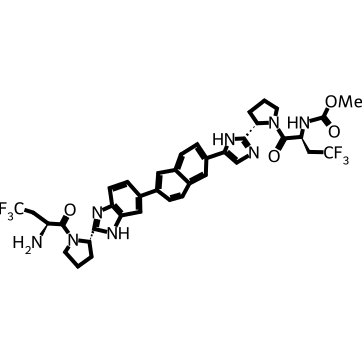 COC(=O)N[C@@H](CC(F)(F)F)C(=O)N1CCC[C@H]1c1ncc(-c2ccc3cc(-c4ccc5nc([C@@H]6CCCN6C(=O)[C@@H](N)CC(F)(F)F)[nH]c5c4)ccc3c2)[nH]1